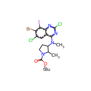 CC1C(N(C)c2nc(Cl)nc3c(I)c(Br)c(Cl)cc23)CCN1C(=O)OC(C)(C)C